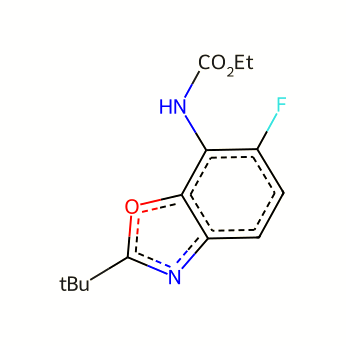 CCOC(=O)Nc1c(F)ccc2nc(C(C)(C)C)oc12